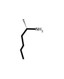 CCCC[C@H](C)N